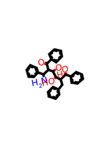 NC(c1ccccc1)C(C(=O)c1ccccc1)C(O)C(O)C(Cc1ccccc1)C(=O)c1ccccc1